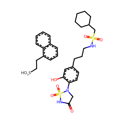 O=C1CN(c2ccc(CCCNS(=O)(=O)CC3CCCCC3)cc2O)S(=O)(=O)N1.O=S(=O)(O)CCc1cccc2ccccc12